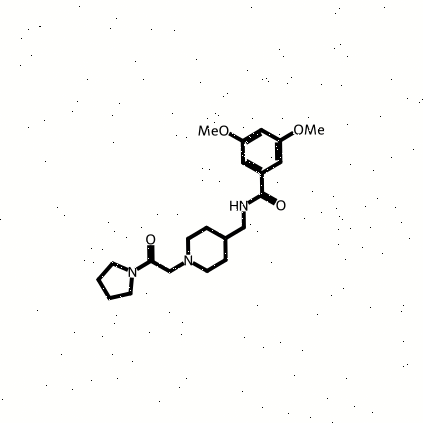 COc1cc(OC)cc(C(=O)NCC2CCN(CC(=O)N3CCCC3)CC2)c1